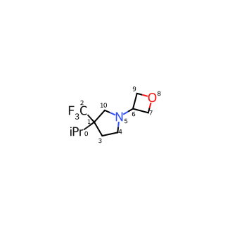 CC(C)C1(C(F)(F)F)CCN(C2COC2)C1